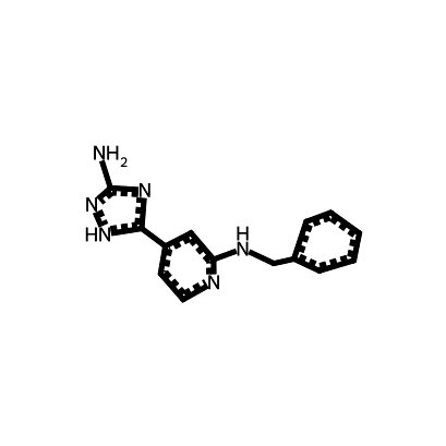 Nc1n[nH]c(-c2ccnc(NCc3ccccc3)c2)n1